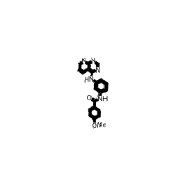 COc1ccc(C(=O)Nc2cccc(Nc3ncnc4ncccc34)c2)cc1